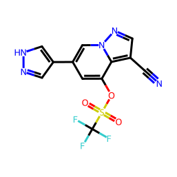 N#Cc1cnn2cc(-c3cn[nH]c3)cc(OS(=O)(=O)C(F)(F)F)c12